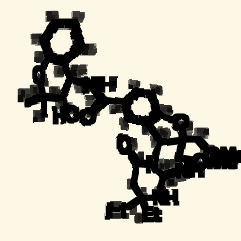 CCC1(CC)CC(=O)N([C@H]2c3cc(C(=O)N[C@@H]4c5ccccc5OC(C)(C)[C@H]4O)ccc3OC2(COC)COC)C(=N)N1